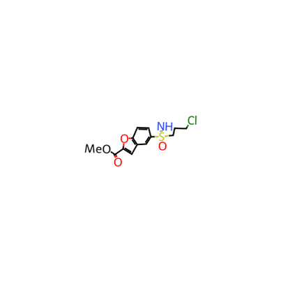 COC(=O)c1cc2cc(S(=N)(=O)CCCCl)ccc2o1